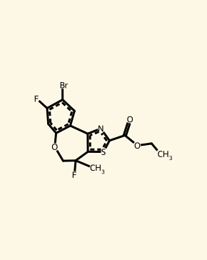 CCOC(=O)c1nc2c(s1)C(C)(F)COc1cc(F)c(Br)cc1-2